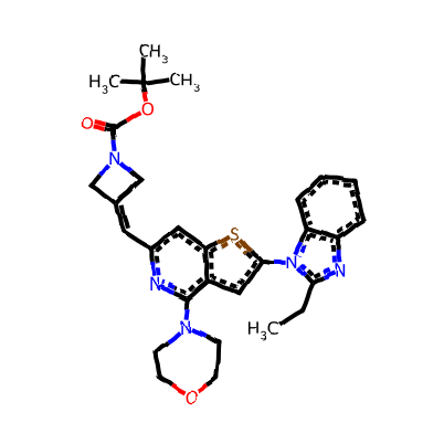 CCc1nc2ccccc2n1-c1cc2c(N3CCOCC3)nc(C=C3CN(C(=O)OC(C)(C)C)C3)cc2s1